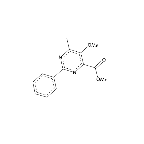 COC(=O)c1nc(-c2ccccc2)nc(C)c1OC